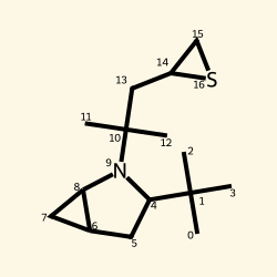 CC(C)(C)C1CC2CC2N1C(C)(C)CC1CS1